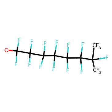 [O]C(F)(F)C(F)(F)C(F)(F)C(F)(F)C(F)(F)C(F)(F)C(F)(C(F)(F)F)C(F)(F)F